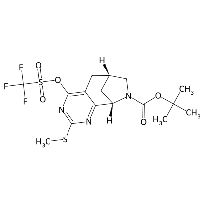 CSc1nc(OS(=O)(=O)C(F)(F)F)c2c(n1)[C@@H]1C[C@H](C2)CN1C(=O)OC(C)(C)C